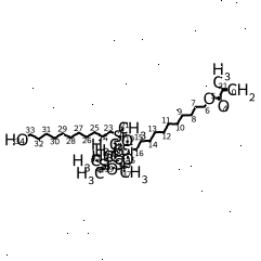 C=C(C)C(=O)OCCCCCCCCCCC[Si](C)(O[Si](C)(C)CCCCCCCCCCCO)O[Si](C)(C)O[Si](C)(C)C